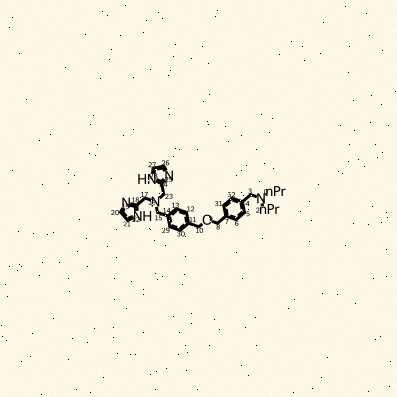 CCCN(CCC)Cc1ccc(COCc2ccc(CN(Cc3ncc[nH]3)Cc3ncc[nH]3)cc2)cc1